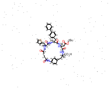 CC(C)(C)OC(=O)C[C@@H]1NC(=O)[C@H](Cc2ccc(-c3ccccc3)cc2)NC(=O)[C@@H](Cc2cccs2)NC(=O)CCC(=O)Nc2ccc(cc2)C[C@@H](C(=O)O)NC1=O